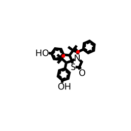 CC(c1ccccc1)N1CC(=O)SC1(C(c1ccc(O)cc1)C(C)(C)C)C(c1ccc(O)cc1)C(C)(C)C